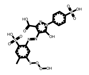 Cc1cc(S(=O)(=O)O)c(N=Nc2c(C(=O)O)nn(-c3ccc(S(=O)(=O)O)cc3)c2O)cc1SOOO